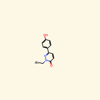 CC(C)(C)Cn1nc(-c2ccc(O)cc2)ccc1=O